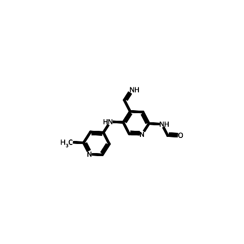 Cc1cc(Nc2cnc(NC=O)cc2C=N)ccn1